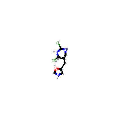 Clc1ncc(Cc2cnco2)c(Cl)n1